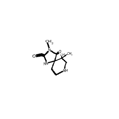 CN1C(=O)NC2(CCNCC2(C)C)C1=O